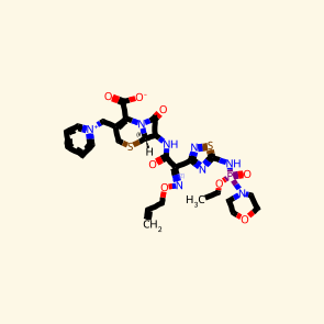 C=CCO/N=C(\C(=O)NC1C(=O)N2C(C(=O)[O-])=C(C[n+]3ccccc3)CS[C@H]12)c1nsc(NP(=O)(OCC)N2CCOCC2)n1